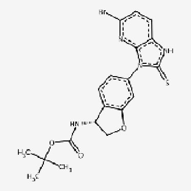 CC(C)(C)OC(=O)N[C@H]1COc2cc(-n3c(=S)[nH]c4ccc(Br)nc43)ccc21